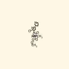 CCN(C(=O)C(C)NC(=O)OCOC)c1cn(-c2cccnc2)nc1Cl